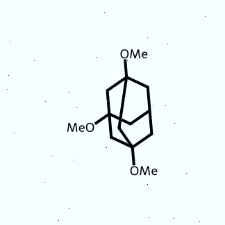 [CH2]OC12CC3CC(O[CH2])(C1)CC(O[CH2])(C3)C2